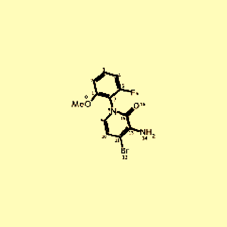 COc1cccc(F)c1-n1ccc(Br)c(N)c1=O